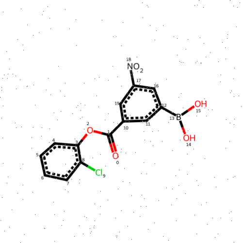 O=C(Oc1ccccc1Cl)c1cc(B(O)O)cc([N+](=O)[O-])c1